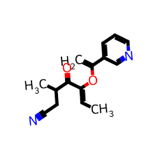 C=C(O/C(=C\C)C(=O)C(C)CC#N)c1cccnc1